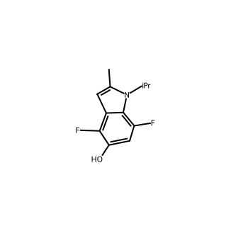 Cc1cc2c(F)c(O)cc(F)c2n1C(C)C